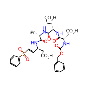 CC(C)[C@H](NC(=O)[C@H](CCC(=O)O)NC(=O)[C@H](CC(=O)O)NC(=O)OCc1ccccc1)C(=O)N[C@H](/C=C/S(=O)(=O)c1ccccc1)CC(=O)O